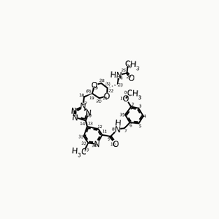 COc1cccc(CNC(=O)c2cc(-c3nnn(C[C@@H]4CO[C@@H](CNC(C)=O)CO4)n3)cc(C)n2)c1